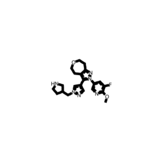 COc1ncc(-n2nc3c(c2-c2cnn(CC4CCNC4)c2)CCOCC3)cc1F